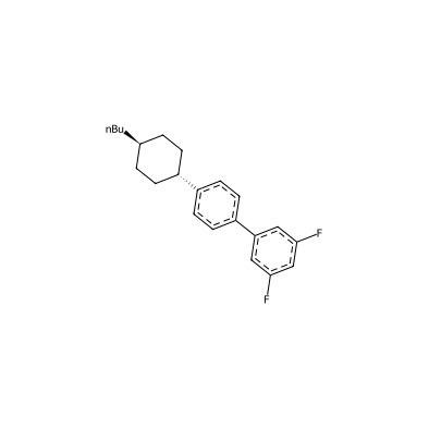 CCCC[C@H]1CC[C@H](c2ccc(-c3cc(F)cc(F)c3)cc2)CC1